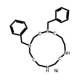 [Ni].c1ccc(CN2CCCNCCNCCCN(Cc3ccccc3)CC2)cc1